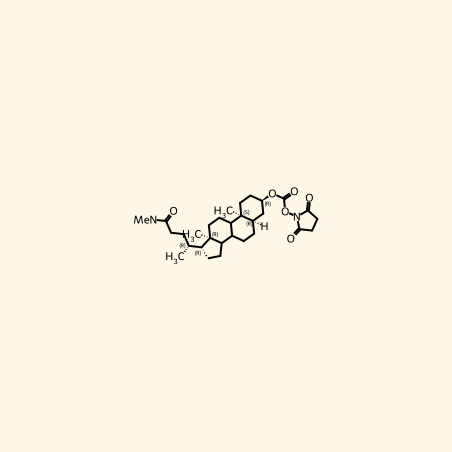 CNC(=O)CC[C@@H](C)[C@H]1CCC2C3CC[C@@H]4C[C@H](OC(=O)ON5C(=O)CCC5=O)CC[C@]4(C)C3CC[C@@]21C